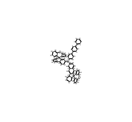 c1ccc(-c2ccc(-c3ccc(N(c4ccc5c(c4)C4(c6ccccc6Oc6ccccc64)c4ccccc4-5)c4ccc5cc6c(cc5c4)-c4ccccc4C64c5ccccc5Oc5ccccc54)cc3)cc2)cc1